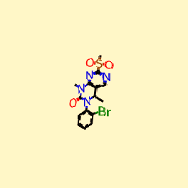 CC1c2cnc(S(C)(=O)=O)nc2N(C)C(=O)N1c1ccccc1Br